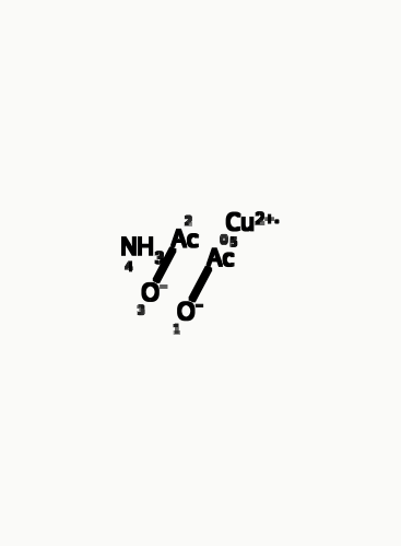 CC(=O)[O-].CC(=O)[O-].N.[Cu+2]